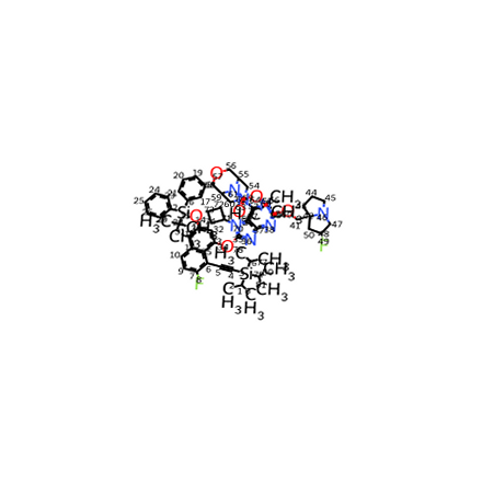 CC(C)[Si](C#Cc1c(F)ccc2cc(O[Si](c3ccccc3)(c3ccccc3)C(C)(C)C)cc(Oc3nc4nc(OC[C@@]56CCCN5C[C@H](F)C6)nc(N5CC6COCC(C5)N6C(=O)OC(C)(C)C)c4n3C3CCC3)c12)(C(C)C)C(C)C